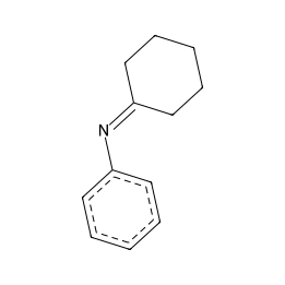 c1ccc(N=C2CCCCC2)cc1